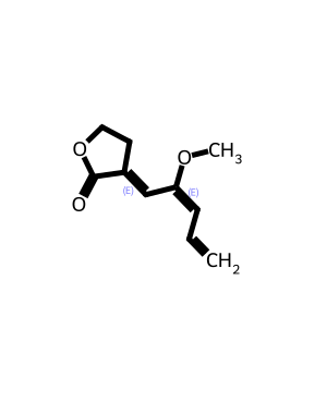 C=C/C=C(\C=C1/CCOC1=O)OC